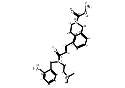 CN(C)CCN(Cc1ccccc1C(F)(F)F)C(=O)/C=C/c1cccc2c1CCN(C(=O)OC(C)(C)C)C2